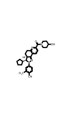 Cc1cc(N2N=C3c4ccc(C(=O)N5CCC(O)CC5)nc4CC[C@@H]3[C@@H]2C2CCCC2)ccc1C#N